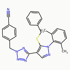 Cc1cccc(C)c1-n1ncc(-c2nnn(Cc3ccc(C#N)cc3)n2)c1SCc1ccccc1